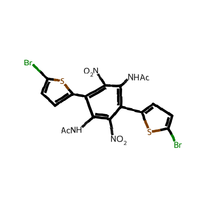 CC(=O)Nc1c(-c2ccc(Br)s2)c([N+](=O)[O-])c(NC(C)=O)c(-c2ccc(Br)s2)c1[N+](=O)[O-]